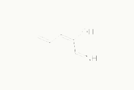 C=C/C=C(/O)C=N